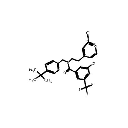 CC(C)(C)c1ccc(CN(CCc2ccnc(Cl)c2)C(=O)c2cc(Cl)cc(C(F)(F)F)c2)cc1